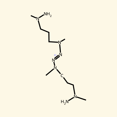 CN(N)CCCN(C)/N=N/N(C)CCCN(C)N